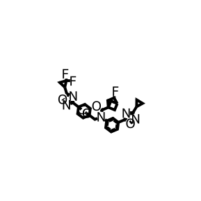 O=C(N(CC12CCC(c3noc(C4CC4(F)F)n3)(CC1)CC2)c1cccc(-c2nc(C3CC3)no2)c1)C12CC(F)C(C1)C2